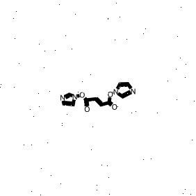 O=C(/C=C/C(=O)On1ccnc1)On1ccnc1